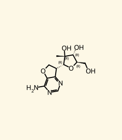 C[C@]1(O)[C@@H](C2COc3c(N)ncnc32)O[C@H](CO)[C@H]1O